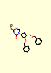 CCOc1ncn([C@@H]2C[C@H](COCc3ccccc3)[C@@H](OCc3ccccc3)C2)c(=O)n1